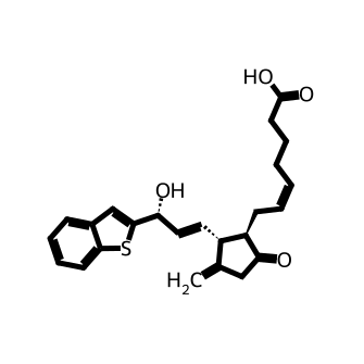 C=C1CC(=O)[C@H](C/C=C\CCCC(=O)O)[C@H]1/C=C/[C@@H](O)c1cc2ccccc2s1